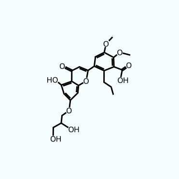 CCCc1c(-c2cc(=O)c3c(O)cc(OCC(O)CO)cc3o2)cc(OC)c(OC)c1C(=O)O